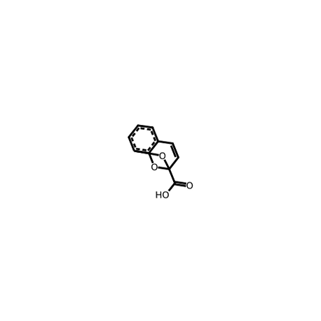 O=C(O)C12C=Cc3cccc(c3O1)O2